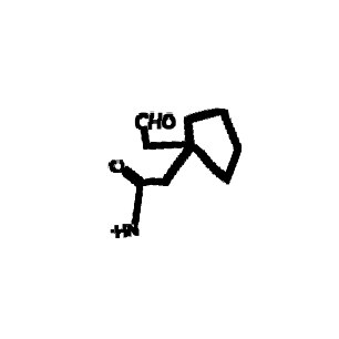 [NH]C(=O)CC1(CC=O)CCCC1